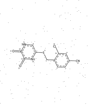 N#Cc1ccc(CSc2c[nH]c(=O)c(=O)[nH]2)c(Cl)c1